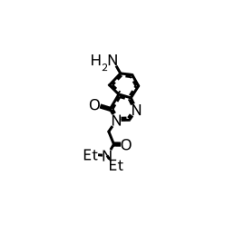 CCN(CC)C(=O)Cn1cnc2ccc(N)cc2c1=O